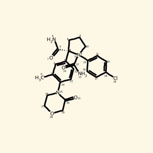 Cc1cc([C@@]2(C(N)=O)CCC[N+]2(C(N)=O)c2ccc(Cl)cc2)ccc1N1CCOCC1=O